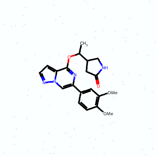 COc1ccc(-c2cn3nccc3c(OC(C)C3CNC(=O)C3)n2)cc1OC